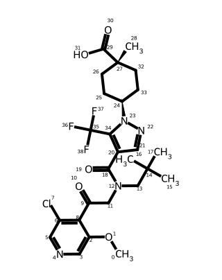 COc1cncc(Cl)c1C(=O)CN(CC(C)(C)C)C(=O)c1cnn([C@H]2CC[C@](C)(C(=O)O)CC2)c1C(F)(F)F